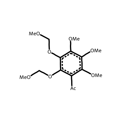 COCOc1c(OC)c(OC)c(OC)c(C(C)=O)c1OCOC